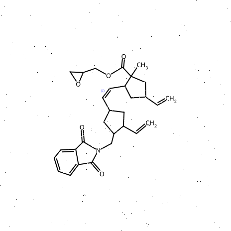 C=CC1CC(/C=C\C2CC(C=C)C(CN3C(=O)c4ccccc4C3=O)C2)C(C)(C(=O)OCC2CO2)C1